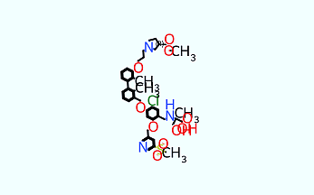 COC(=O)[C@@H]1CCN(CCCOc2cccc(-c3cccc(COc4cc(OCc5cncc(S(C)(=O)=O)c5)c(CNC(C)(CO)C(=O)O)cc4Cl)c3C)c2C)C1